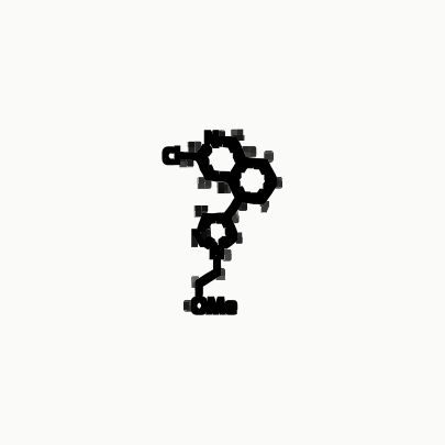 COCCn1cc(-c2cccc3cnc(Cl)cc23)cn1